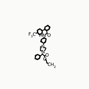 C=CCOC(=O)C(c1ccccc1)N1CCN(c2ccc(NC(=O)c3ccccc3-c3ccc(C(F)(F)F)cc3)cc2)CC1